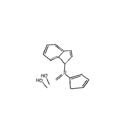 CO.CO.[CH2]=[Ti]([C]1=CC=CC1)[CH]1C=Cc2ccccc21